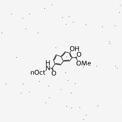 CCCCCCCCNC(=O)c1ccc2cc(O)c(C(=O)OC)cc2c1